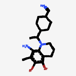 Cc1c(N)c2c(c(Br)c1Br)CCCN2C(C)C1CCC(C=N)CC1